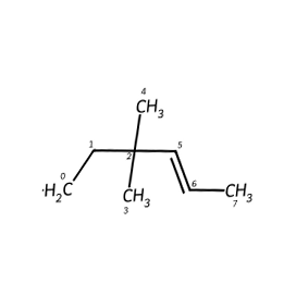 [CH2]CC(C)(C)C=CC